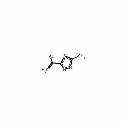 C=C(C(C)=O)c1nnc(C)s1